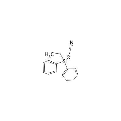 CC[Si](OC#N)(c1ccccc1)c1ccccc1